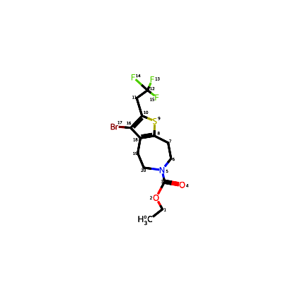 CCOC(=O)N1CCc2sc(CC(F)(F)F)c(Br)c2CC1